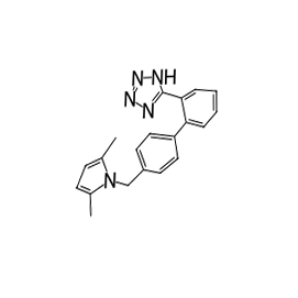 Cc1ccc(C)n1Cc1ccc(-c2ccccc2-c2nnn[nH]2)cc1